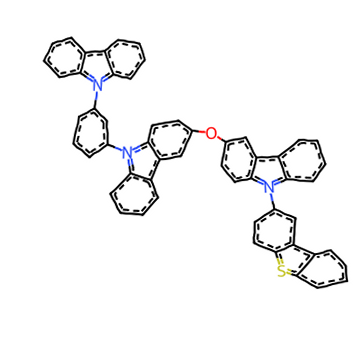 c1cc(-n2c3ccccc3c3ccccc32)cc(-n2c3ccccc3c3cc(Oc4ccc5c(c4)c4ccccc4n5-c4ccc5sc6ccccc6c5c4)ccc32)c1